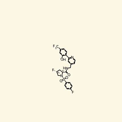 O=C(NCc1ccnc(-c2ccc(C(F)(F)F)cc2O)c1)[C@@H]1C[C@@H](F)CN1S(=O)(=O)c1ccc(F)cc1